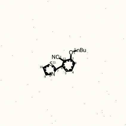 CCCCOc1cccc(-c2nccs2)c1C#N